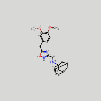 COc1ccc(Cc2nc(CNC34CC5CC(CC(C5)C3)C4)no2)cc1OC